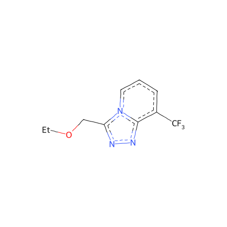 CCOCc1nnc2c(C(F)(F)F)cccn12